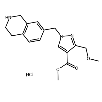 COCc1nn(Cc2ccc3c(c2)CNCC3)cc1C(=O)OC.Cl